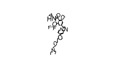 CCN(CC)CCOCCOc1ccn2c(-c3cc(OC)c(C(=O)NC4CC4)c(OC(F)F)c3)cnc2c1